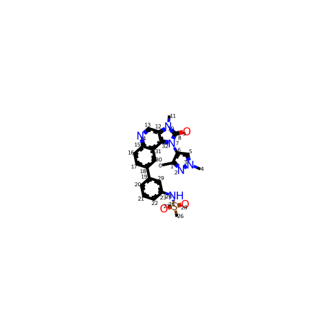 Cc1nn(C)cc1-n1c(=O)n(C)c2cnc3ccc(-c4cccc(NS(C)(=O)=O)c4)cc3c21